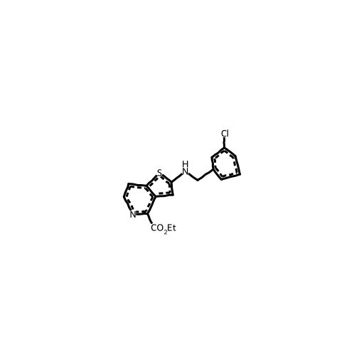 CCOC(=O)c1nccc2sc(NCc3cccc(Cl)c3)cc12